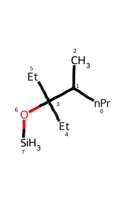 CCCC(C)C(CC)(CC)O[SiH3]